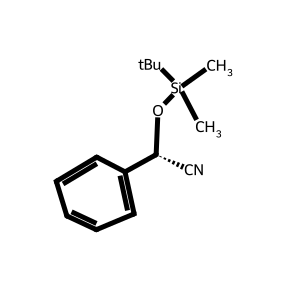 CC(C)(C)[Si](C)(C)O[C@H](C#N)c1ccccc1